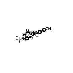 CCCCCCOC(=O)CCC(=O)OC(C)C(C)Oc1ccc(C(=O)Oc2ccc(OC(=O)C3CCC(C4CCC(C)CC4)CC3)cc2)cc1